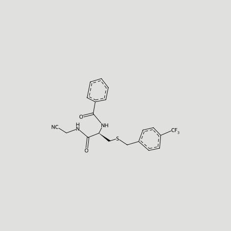 N#CCNC(=O)[C@H](CSCc1ccc(C(F)(F)F)cc1)NC(=O)c1ccccc1